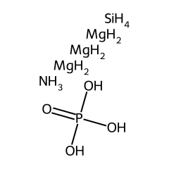 N.O=P(O)(O)O.[MgH2].[MgH2].[MgH2].[SiH4]